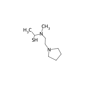 CC(S)N(C)CCN1CCCC1